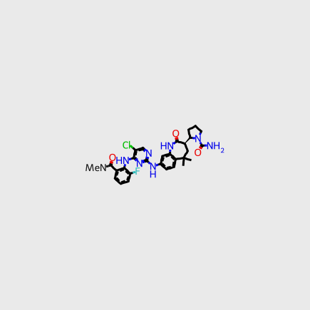 CNC(=O)c1cccc(F)c1Nc1nc(Nc2ccc3c(c2)NC(=O)[C@@H](C2CCCN2C(N)=O)CC3(C)C)ncc1Cl